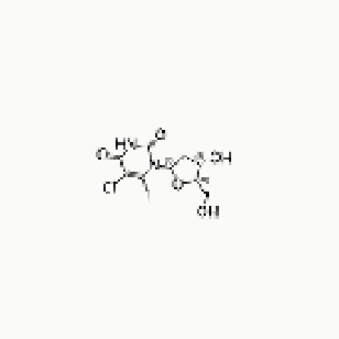 O=c1[nH]c(=O)n([C@H]2C[C@H](O)[C@@H](CO)O2)c(I)c1Cl